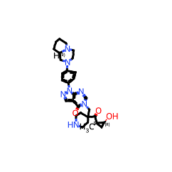 C[C@@]1(C(=O)C2(Cn3cnc4c(cnn4-c4ccc(N5CCN6CCCC[C@@H]6C5)cc4)c3=O)CCNCC2)C[C@H]1O